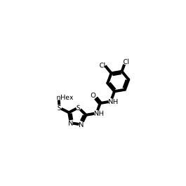 CCCCCCSc1nnc(NC(=O)Nc2ccc(Cl)c(Cl)c2)s1